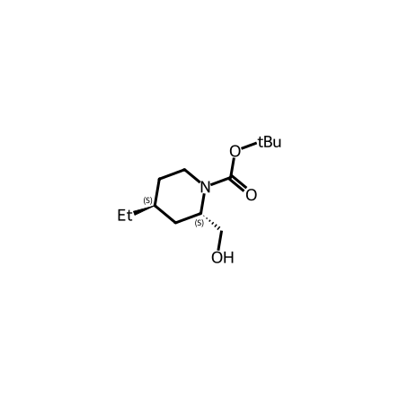 CC[C@H]1CCN(C(=O)OC(C)(C)C)[C@H](CO)C1